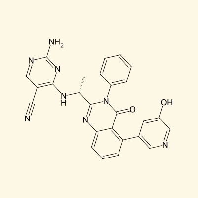 C[C@@H](Nc1nc(N)ncc1C#N)c1nc2cccc(-c3cncc(O)c3)c2c(=O)n1-c1ccccc1